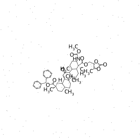 COC(=O)N[C@H]1CC[C@@]2(C)C(CC[C@]3(C)C2C(=O)C=C2[C@@H]4C[C@@](C)(C(=O)OC(c5ccccc5)c5ccccc5)CC[C@]4(C)CC[C@]23C)[C@]1(C)C(=O)OCc1oc(=O)oc1C